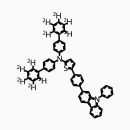 [2H]c1c([2H])c([2H])c(-c2ccc(N(c3ccc(-c4c([2H])c([2H])c([2H])c([2H])c4[2H])cc3)c3ccc(-c4ccc(-c5ccc6c7ccccc7n(-c7ccccc7)c6c5)cc4)s3)cc2)c([2H])c1[2H]